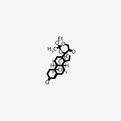 CCOC1(C)OCC(=O)[C@]2(CC[C@H]3[C@@H]4CCC5=CC(=O)CC[C@]5(C)[C@H]4CC[C@@]32C)O1